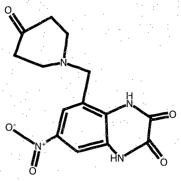 O=C1CCN(Cc2cc([N+](=O)[O-])cc3[nH]c(=O)c(=O)[nH]c23)CC1